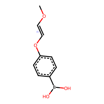 CO/C=C/Oc1ccc(B(O)O)cc1